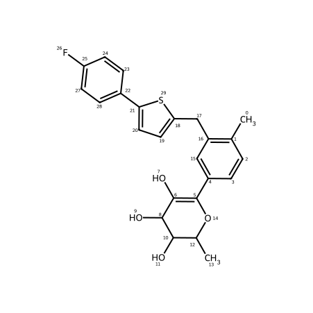 Cc1ccc(C2=C(O)C(O)C(O)C(C)O2)cc1Cc1ccc(-c2ccc(F)cc2)s1